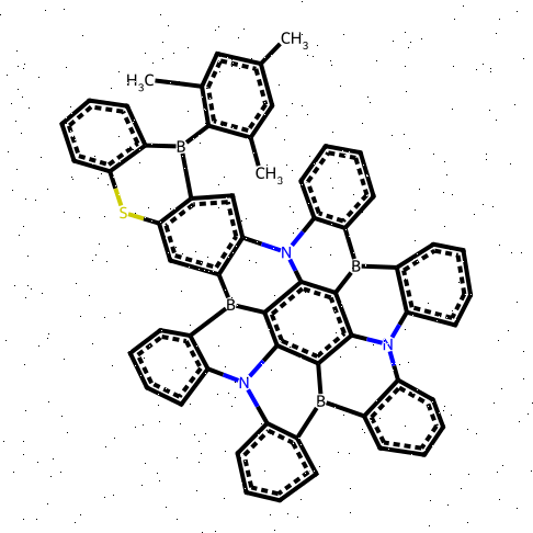 Cc1cc(C)c(B2c3ccccc3Sc3cc4c(cc32)N2c3ccccc3B3c5ccccc5N5c6ccccc6B6c7ccccc7N7c8ccccc8B4c4c7c6c5c3c42)c(C)c1